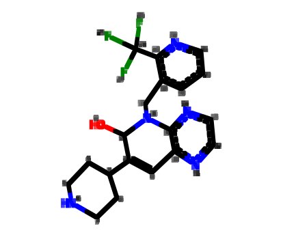 OC1C(C2CCNCC2)=Cc2nccnc2N1Cc1cccnc1C(F)(F)F